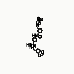 O=C(Nc1ccc(-c2nc(Cc3ccc4c(c3)OCCO4)n[nH]2)cc1)c1cccc(CN2CCS(=O)(=O)CC2)c1